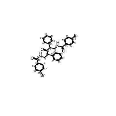 O=C(NCC(C(=O)C(CNC(=O)c1ccc(Br)cc1)c1ccccc1)c1ccccc1)c1ccc(Br)cc1